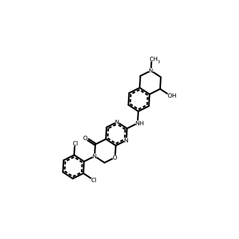 CN1Cc2ccc(Nc3ncc4c(n3)OCN(c3c(Cl)cccc3Cl)C4=O)cc2C(O)C1